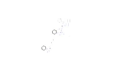 CC(NC(=O)CN1Cc2cccc(OCCCCCC(=O)N(C)c3ccccc3)c2N=C1N)C1CCCC1